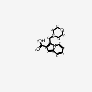 O=C(O)c1cc2ccccn2c1CN1CCOCC1